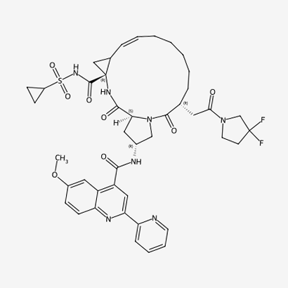 COc1ccc2nc(-c3ccccn3)cc(C(=O)N[C@@H]3C[C@H]4C(=O)N[C@]5(C(=O)NS(=O)(=O)C6CC6)CC5C=CCCCCC[C@H](CC(=O)N5CCC(F)(F)C5)C(=O)N4C3)c2c1